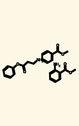 COC(=O)c1ccccc1.COC(=O)c1ccccc1N.NCCC(=O)Oc1ccccc1